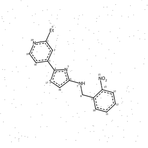 CCc1cc(-c2nc(NCc3ccccc3[N+](=O)[O-])cs2)ccn1